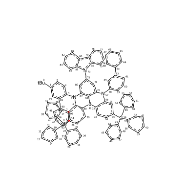 CC(C)(C)c1ccc(N2c3cc([Si](c4ccccc4)(c4ccccc4)c4ccccc4)ccc3B3c4ccc([Si](c5ccccc5)(c5ccccc5)c5ccccc5)cc4N(c4cccc(-c5ccccc5)c4)c4cc(-n5c6ccccc6c6ccccc65)cc2c43)c(-c2ccccc2)c1